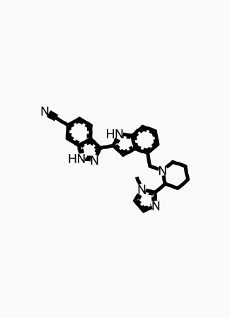 Cn1ccnc1C1CCCCN1Cc1cccc2[nH]c(-c3n[nH]c4cc(C#N)ccc34)cc12